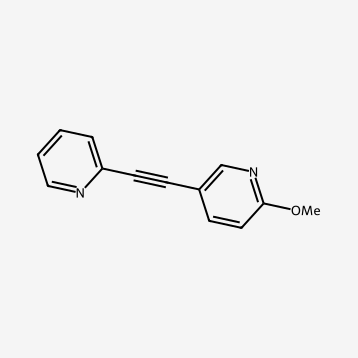 COc1ccc(C#Cc2ccccn2)cn1